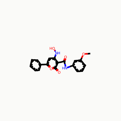 COc1cccc(NC(=O)c2c(NO)cc(-c3ccccc3)oc2=O)c1